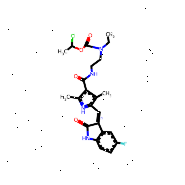 CCN(CCNC(=O)c1c(C)[nH]c(/C=C2\C(=O)Nc3ccc(F)cc32)c1C)C(=O)OC(C)Cl